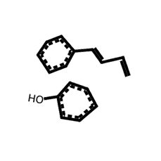 C=CC=Cc1ccccc1.Oc1ccccc1